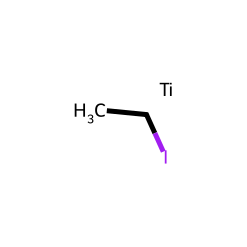 CCI.[Ti]